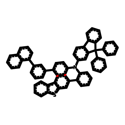 c1ccc(C2(c3ccccc3)c3ccccc3-c3ccc(N(c4ccc(-c5cccc(-c6cccc7ccccc67)c5)cc4)c4ccccc4-c4ccc5c(c4)sc4ccccc45)cc32)cc1